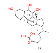 CC(C)C(CCC(C)[C@H]1CC[C@H]2[C@@H]3C(O)C(O)C4CC(O)CC[C@]4(C)[C@H]3CC[C@]12C)C1OC1(O)O